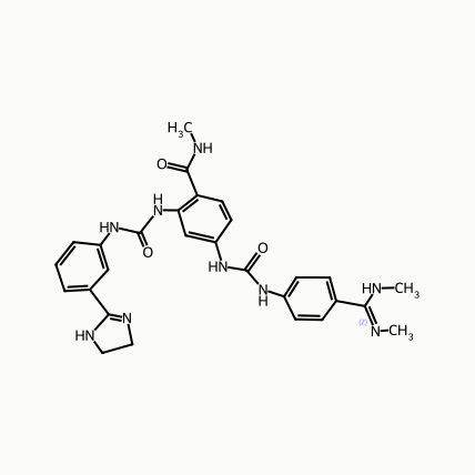 C/N=C(\NC)c1ccc(NC(=O)Nc2ccc(C(=O)NC)c(NC(=O)Nc3cccc(C4=NCCN4)c3)c2)cc1